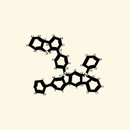 c1ccc(-c2ccc3c4cc5c6ccccc6n(-c6ccccc6)c5cc4n(-c4ccc(-c5cccc6c5sc5ccccc56)cc4)c3c2)cc1